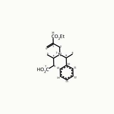 C=C(CN(C(C)CC(=O)O)C(C)c1ccccc1)C(=O)OCC